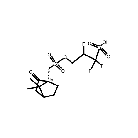 CC1(C)C2CC[C@]1(CS(=O)(=O)OCC(F)C(F)(F)S(=O)(=O)O)C(=O)C2